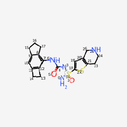 N[S@](=O)(=NC(=O)Nc1c2c(cc3c1CC3)CCC2)c1cc2c(s1)CCNC2